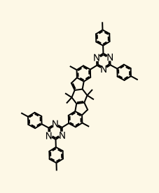 Cc1ccc(-c2nc(-c3ccc(C)cc3)nc(-c3cc(C)c4c(c3)C3=C(C4)C(C)(C)C4C(=Cc5c(C)cc(-c6nc(-c7ccc(C)cc7)nc(-c7ccc(C)cc7)n6)cc54)C3(C)C)n2)cc1